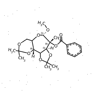 CO[C@H]1OC2COC(C)(C)O[C@H]2C2OC(C)(C)O[C@@H]2[C@@]1(C)OC(=O)c1ccccc1